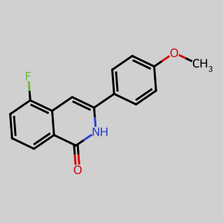 COc1ccc(-c2cc3c(F)cccc3c(=O)[nH]2)cc1